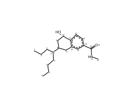 CCCCN(CCC)C1CCc2ccc(C(=O)NC)cc2C1.Cl